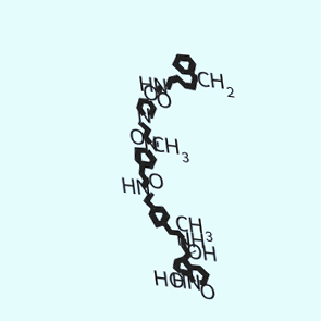 C=C(/C=C\C=C/CNC(=O)OC1CCN(CCC(=O)N(C)c2ccc(CC(=O)NCCc3ccc(C[C@@H](C)NC[C@H](O)c4ccc(O)c5[nH]c(=O)ccc45)cc3)cc2)CC1)c1ccccc1